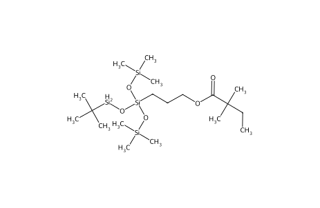 CCC(C)(C)C(=O)OCCC[Si](O[SiH2]C(C)(C)C)(O[Si](C)(C)C)O[Si](C)(C)C